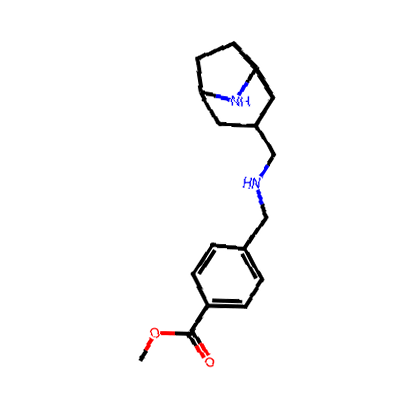 COC(=O)c1ccc(CNCC2CC3CCC(C2)N3)cc1